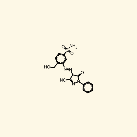 N#CC1=NN(c2ccccc2)C(=O)C1/N=N/c1cc(S(N)(=O)=O)ccc1CO